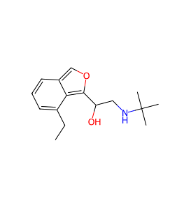 CCc1cccc2coc(C(O)CNC(C)(C)C)c12